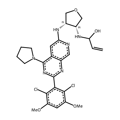 C=CC(O)N[C@H]1COC[C@H]1Nc1cc2c(N3CCCC3)nc(-c3c(Cl)c(OC)cc(OC)c3Cl)nc2cn1